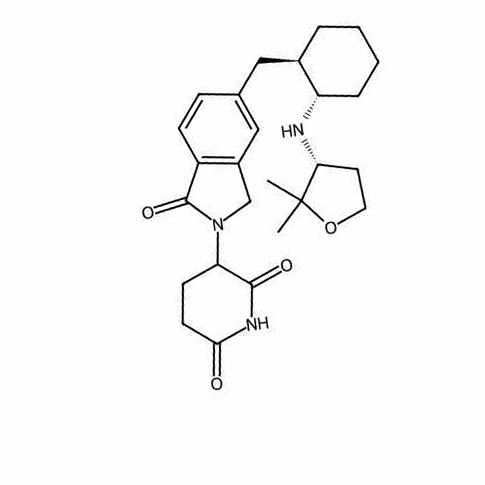 CC1(C)OCC[C@H]1N[C@H]1CCCC[C@@H]1Cc1ccc2c(c1)CN(C1CCC(=O)NC1=O)C2=O